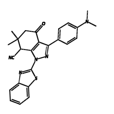 CN(C)c1ccc(-c2nn(-c3nc4ccccc4s3)c3c2C(=O)CC(C)(C)C3C#N)cc1